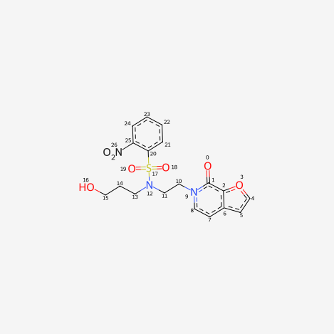 O=c1c2occc2ccn1CCN(CCCO)S(=O)(=O)c1ccccc1[N+](=O)[O-]